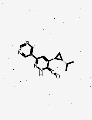 CC(C)[C@H]1C[C@@H]1C1=CC(c2cncnc2)=NNC1=C=O